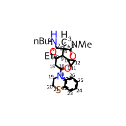 CCCCNC(=O)[C@@](C)(C(=O)NC)C(C1CC1)C(CC)CC(=O)N1CCSc2ccccc21